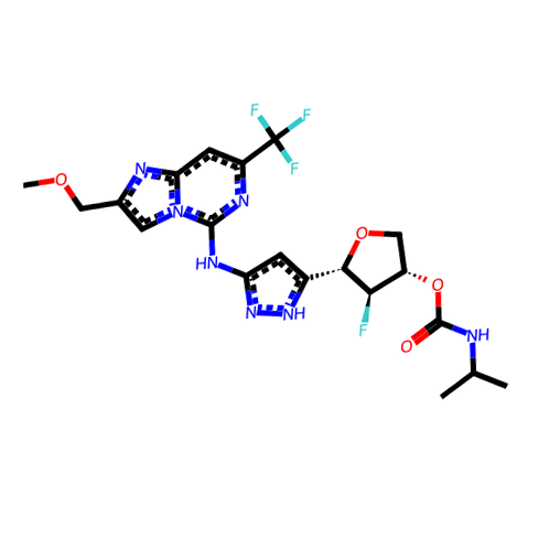 COCc1cn2c(Nc3cc([C@@H]4OC[C@H](OC(=O)NC(C)C)[C@H]4F)[nH]n3)nc(C(F)(F)F)cc2n1